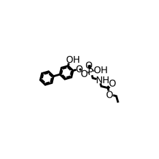 CCOC(=O)CNCP(=O)(O)OOc1ccc(-c2ccccc2)cc1O